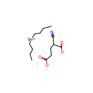 CCC[CH2][Sn+2][CH2]CCC.N#CC(CCC(=O)[O-])C(=O)[O-]